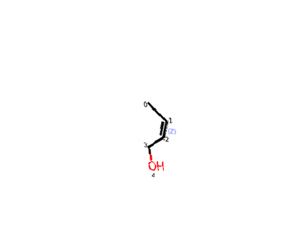 C/C=[C]\CO